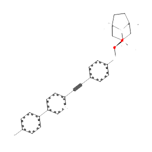 O[C@]1(C(F)(F)F)C[C@H]2CC[C@@H](C1)N2CCOc1ccc(C#Cc2ccc(-c3ccc(Cl)cc3)cn2)cc1